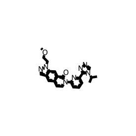 COCCn1ncc2cc3ccn(-c4cccc(-c5nncn5C(C)C)n4)c(=O)c3cc21